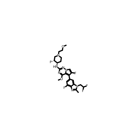 COCCN1CC[C@@H](Nc2nc(OC)c3c(-c4cc(F)c5nc(C)n(CC(F)F)c5c4)c(F)cn3n2)[C@H](F)C1